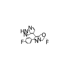 FC[C@@H]1Cn2nc(-c3ccc(F)cc3)c(-c3ccnc4[nH]ncc34)c2CO1